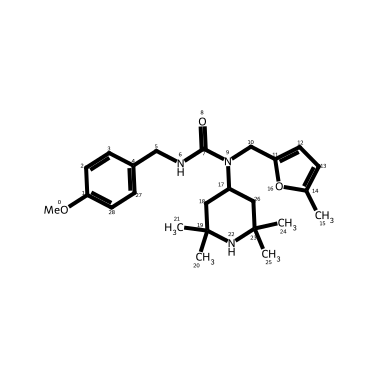 COc1ccc(CNC(=O)N(Cc2ccc(C)o2)C2CC(C)(C)NC(C)(C)C2)cc1